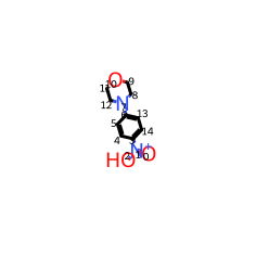 O=[N+](O)c1ccc(N2CCOCC2)cc1